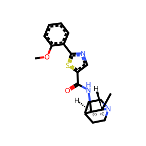 COc1ccccc1-c1ncc(C(=O)N[C@@H]2C3CCN(CC3)[C@H]2C)s1